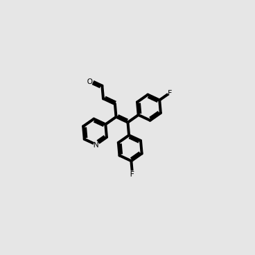 O=C/C=C/C(=C(c1ccc(F)cc1)c1ccc(F)cc1)c1cccnc1